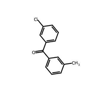 Cc1cccc(C(=O)c2cccc(Cl)c2)c1